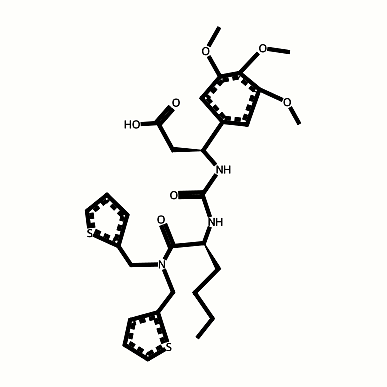 CCCC[C@H](NC(=O)N[C@@H](CC(=O)O)c1cc(OC)c(OC)c(OC)c1)C(=O)N(Cc1cccs1)Cc1cccs1